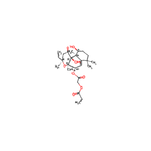 C=CC(=O)OCC(=O)O[C@H]1C=C2C(C)(C)CC[C@H](O)[C@]2(C)[C@@]2(O)C(=O)C[C@](C)(C=C)O[C@]12C